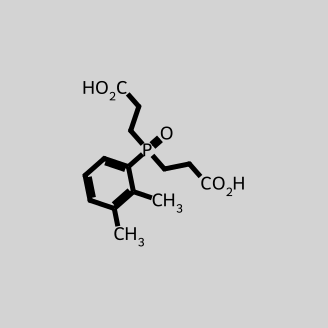 Cc1cccc(P(=O)(CCC(=O)O)CCC(=O)O)c1C